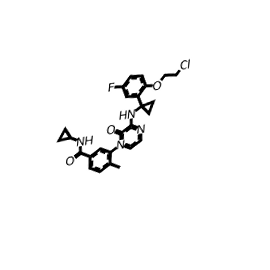 Cc1ccc(C(=O)NC2CC2)cc1-n1ccnc(NC2(c3cc(F)ccc3OCCCl)CC2)c1=O